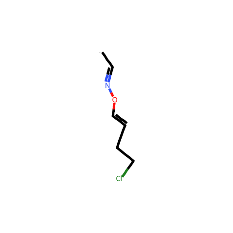 [CH2]C=NOC=CCCCl